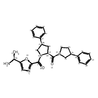 C[C@H](N)c1cnc(C(=O)N2C[C@@H](c3ccccc3)C[C@H]2C(=O)N2CCC(c3ccccc3)C2)o1